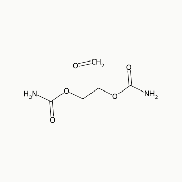 C=O.NC(=O)OCCOC(N)=O